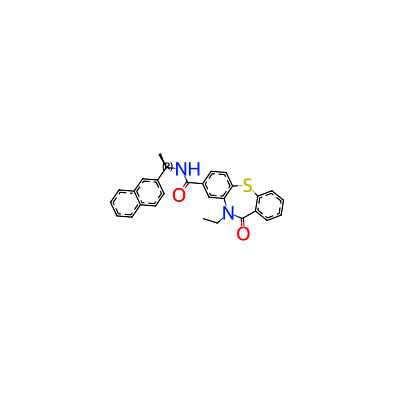 CCN1C(=O)c2ccccc2Sc2ccc(C(=O)N[C@H](C)c3ccc4ccccc4c3)cc21